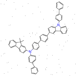 CC1(C)c2ccccc2-c2ccc(N(c3ccc(-c4ccccc4)cc3)c3ccc(-c4ccc(-c5ccc6c(c5)c5ccccc5n6-c5ccc(-c6ccccc6)cc5)cc4)cc3)cc21